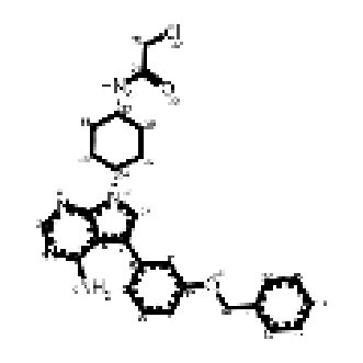 Nc1ncnc2c1c(-c1cccc(OCc3ccccc3)c1)cn2[C@H]1CC[C@@H](NC(=O)CCl)CC1